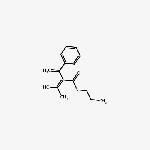 C=C(/C(C(=O)NCCC)=C(/C)O)c1ccccc1